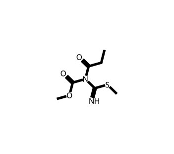 CCC(=O)N(C(=N)SC)C(=O)OC